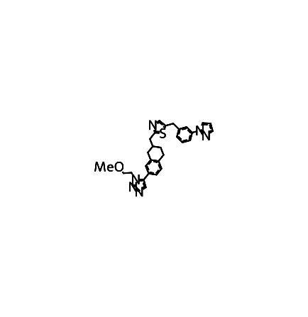 COCCn1nncc1-c1ccc2c(c1)CC(Cc1ncc(Cc3cccc(-n4cccn4)c3)s1)CC2